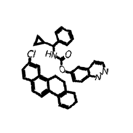 Clc1ccc2ccc3c(c2c1)CCC1=C3C=CCC1.O=C(NC(c1ccccc1)C1CC1)Oc1ccc2nnccc2c1